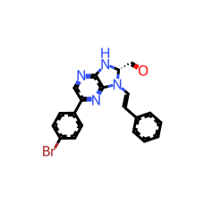 O=C[C@H]1Nc2ncc(-c3ccc(Br)cc3)nc2N1C=Cc1ccccc1